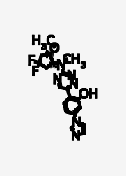 CO[C@H]1CC(F)(F)C[C@@H]1N(C)c1ncc(-c2ccc(-n3ccnc3)cc2O)nn1